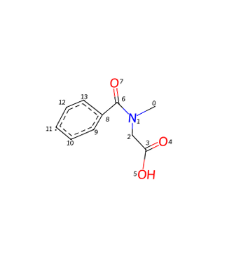 CN(CC(=O)O)C(=O)c1cc[c]cc1